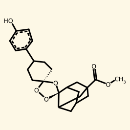 COC(=O)C12CC3CC(C1)[C@]1(OO[C@]4(CCC(c5ccc(O)cc5)CC4)O1)C(C3)C2